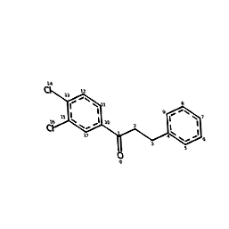 O=C(CCc1ccccc1)c1ccc(Cl)c(Cl)c1